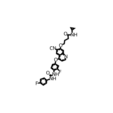 [C-]#[N+]c1cc2c(Oc3ccc(NC(=O)Nc4ccc(F)cc4)c(F)c3)ccnc2cc1OCCCC(=O)NC1CC1